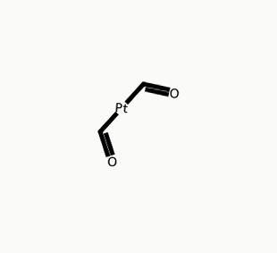 O=[CH][Pt][CH]=O